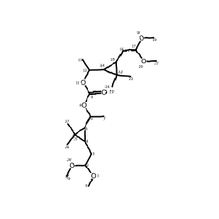 COC(CC1C(C(C)OC(=O)OC(C)C2C(CC(OC)OC)C2(C)C)C1(C)C)OC